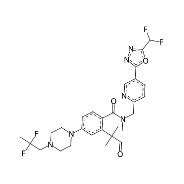 CN(Cc1ccc(-c2nnc(C(F)F)o2)cn1)C(=O)c1ccc(N2CCN(CC(C)(F)F)CC2)cc1C(C)(C)C=O